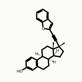 C[C@]12CC[C@@H]3c4ccc(O)cc4CC[C@@H]3[C@@H]1CC[C@@]2(C)C#Cc1cc2ccccc2o1